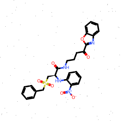 O=C(CCCNC(=O)[C@H](CS(=O)(=O)Cc1ccccc1)Nc1ccccc1[N+](=O)[O-])c1nc2ccccc2o1